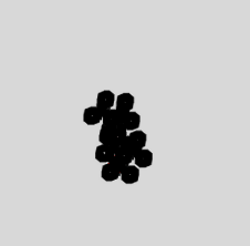 C1=CC(c2ccccc2)=C(N2c3cc4c(cc3B3c5ccccc5N(c5ccccc5)c5cc(N(c6ccccc6)c6ccccc6)cc2c53)B2c3ccccc3N(c3ccccc3)c3cc(N(c5ccccc5)c5ccccc5)cc(c32)O4)[C@H](c2ccccc2)C1